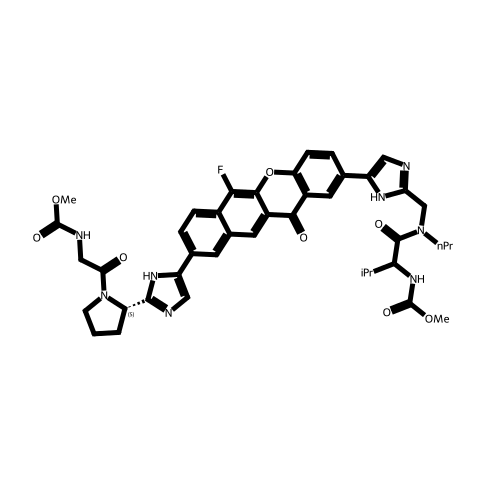 CCCN(Cc1ncc(-c2ccc3oc4c(F)c5ccc(-c6cnc([C@@H]7CCCN7C(=O)CNC(=O)OC)[nH]6)cc5cc4c(=O)c3c2)[nH]1)C(=O)C(NC(=O)OC)C(C)C